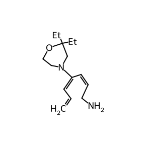 C=C/C=C(\C=C/CN)N1CCOC(CC)(CC)C1